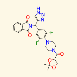 CC1(C)OCC(C(=O)N2CCN(c3c(F)cc(C(c4c[nH]nn4)N4C(=O)c5ccccc5C4=O)cc3F)CC2)O1